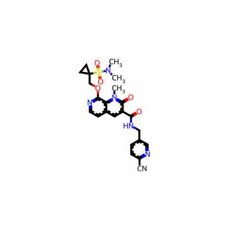 CN(C)S(=O)(=O)C1(COc2nccc3cc(C(=O)NCc4ccc(C#N)nc4)c(=O)n(C)c23)CC1